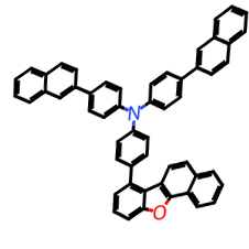 c1ccc2cc(-c3ccc(N(c4ccc(-c5ccc6ccccc6c5)cc4)c4ccc(-c5cccc6oc7c8ccccc8ccc7c56)cc4)cc3)ccc2c1